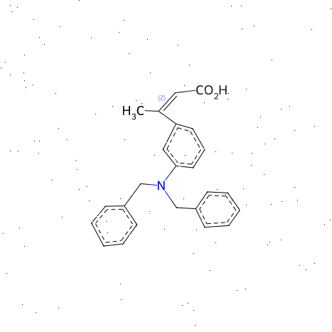 C/C(=C/C(=O)O)c1cccc(N(Cc2ccccc2)Cc2ccccc2)c1